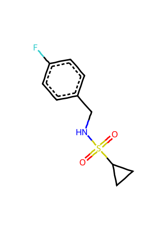 O=S(=O)(NCc1ccc(F)cc1)C1CC1